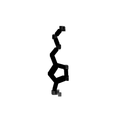 CCOOCc1cc(C)no1